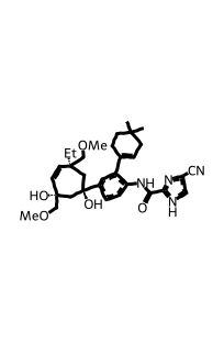 CC[C@@]1(COC)C=C[C@](O)(COC)C[C@@](O)(c2ccc(NC(=O)c3nc(C#N)c[nH]3)c(C3=CCC(C)(C)CC3)c2)C1